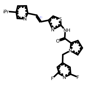 CC(C)c1ccc(/C=C/c2csc(NC(=O)c3cccn3Cc3cc(F)nc(F)c3)n2)nc1